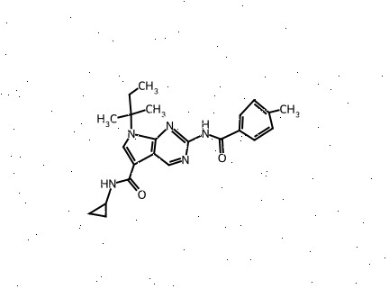 CCC(C)(C)n1cc(C(=O)NC2CC2)c2cnc(NC(=O)c3ccc(C)cc3)nc21